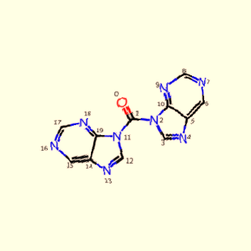 O=C(n1cnc2cncnc21)n1cnc2cncnc21